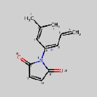 C=C/C=C(\C=C(C)C)N1C(=O)C=CC1=O